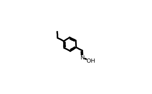 CCc1ccc(C=NO)cc1